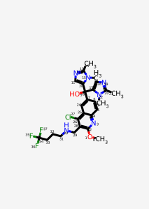 COc1nc2ccc(C(O)(c3cnc(C)n3C)c3cnc(C)n3C)cc2c(Cl)c1CNCCCC(F)(F)F